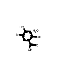 O.O=C(O)c1cc(Br)c(O)cc1O